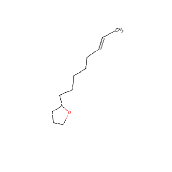 CC=CCCCCCC1CCCO1